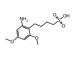 COc1cc(N)c(CCCCS(=O)(=O)O)c(OC)c1